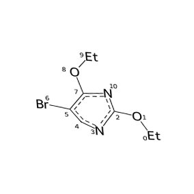 CCOc1ncc(Br)c(OCC)n1